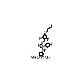 COc1ccc(N(C)c2cnc(SCc3c(F)cc(OCCCCl)cc3F)n2-c2ccc(F)cc2)cc1OC